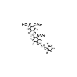 COc1c(C)c(OC(=O)c2c(C)c(C)c(OCCCOc3c(F)cccc3F)c(C)c2OC)c(C)c(C)c1C(=O)O